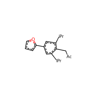 CC(=O)Cc1c(C(C)C)cc(-c2ccco2)cc1C(C)C